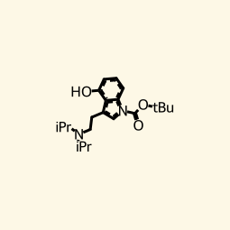 CC(C)N(CCc1cn(C(=O)OC(C)(C)C)c2cccc(O)c12)C(C)C